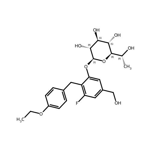 CCOc1ccc(Cc2c(F)cc(CO)cc2O[C@@H]2O[C@H]([C@@H](C)O)[C@@H](O)[C@H](O)[C@H]2O)cc1